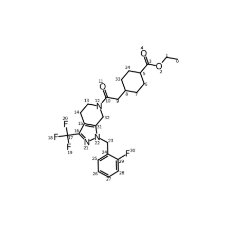 CCOC(=O)C1CCC(CC(=O)N2CCc3c(C(F)(F)F)nn(Cc4ccccc4F)c3C2)CC1